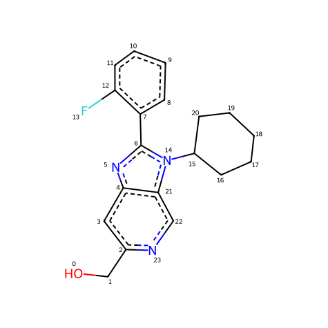 OCc1cc2nc(-c3ccccc3F)n(C3CCCCC3)c2cn1